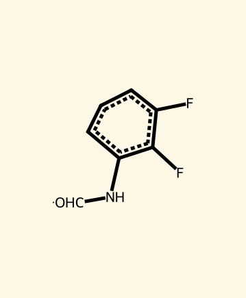 O=[C]Nc1cccc(F)c1F